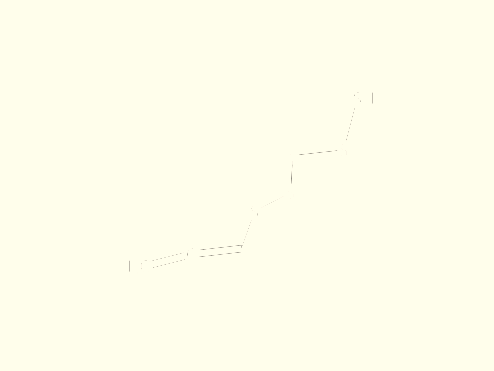 C=C=CSSSSS